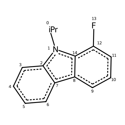 CC(C)n1c2ccccc2c2cccc(F)c21